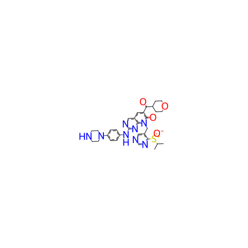 CC(C)[S+]([O-])c1ncncc1Cn1c(=O)c(C(=O)C2CCOCC2)cc2cnc(Nc3ccc(N4CCNCC4)cc3)nc21